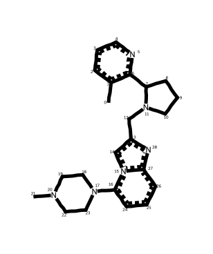 Cc1cccnc1C1CCCN1Cc1cn2c(N3CCN(C)CC3)cccc2n1